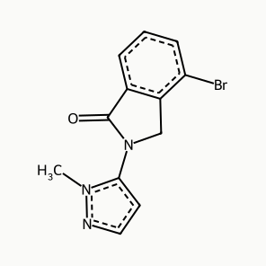 Cn1nccc1N1Cc2c(Br)cccc2C1=O